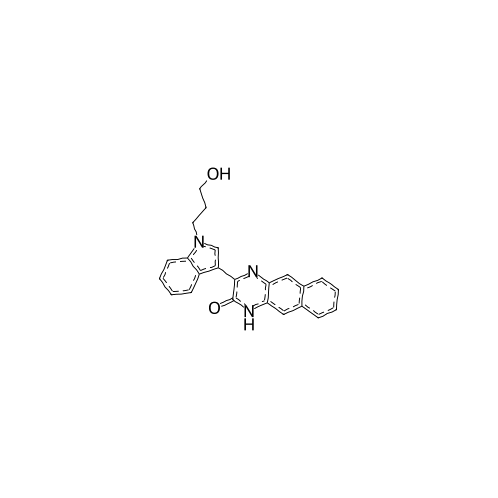 O=c1[nH]c2cc3ccccc3cc2nc1-c1cn(CCCO)c2ccccc12